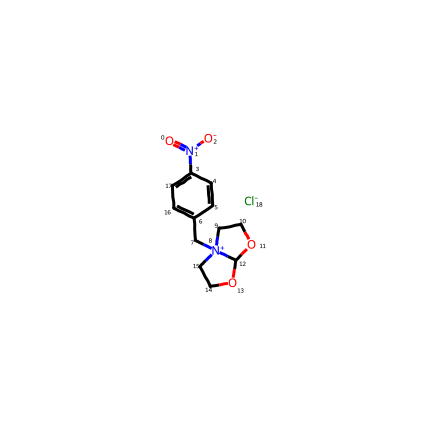 O=[N+]([O-])c1ccc(C[N+]23CCOC2OCC3)cc1.[Cl-]